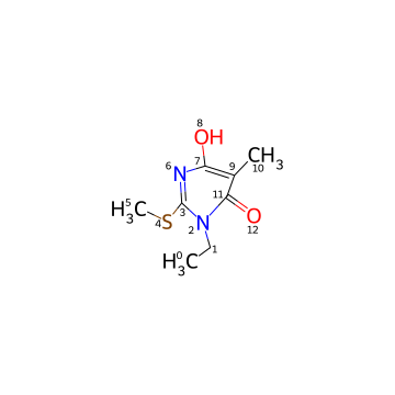 CCn1c(SC)nc(O)c(C)c1=O